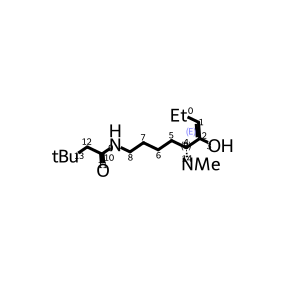 CC/C=C(/O)[C@@H](CCCCNC(=O)CC(C)(C)C)NC